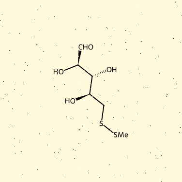 CSSC[C@@H](O)[C@@H](O)[C@@H](O)C=O